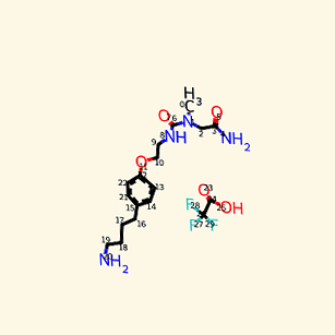 CN(CC(N)=O)C(=O)NCCOc1ccc(CCCCN)cc1.O=C(O)C(F)(F)F